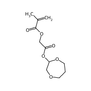 C=C(C)C(=O)OCC(=O)OC1COCCCO1